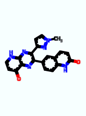 Cn1ccc(-c2nc3[nH]ccc(=O)c3nc2-c2ccc3[nH]c(=O)ccc3c2)n1